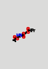 C=C(C)C(=O)OCCNC(=O)OCCOC(=O)C(C)C